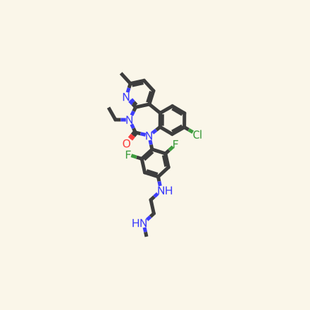 CCN1C(=O)N(c2c(F)cc(NCCNC)cc2F)c2cc(Cl)ccc2-c2ccc(C)nc21